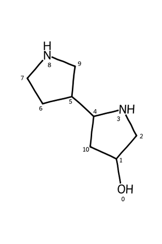 OC1CNC(C2CCNC2)C1